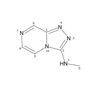 CNc1nnc2cnccn12